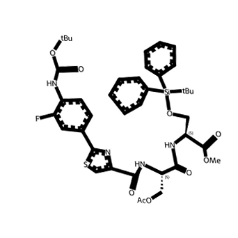 COC(=O)[C@H](CO[Si](c1ccccc1)(c1ccccc1)C(C)(C)C)NC(=O)[C@H](COC(C)=O)NC(=O)c1csc(-c2ccc(NC(=O)OC(C)(C)C)c(F)c2)n1